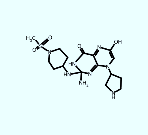 CS(=O)(=O)N1CCC(NC2(N)N=C3C(=NC(O)=CN3C3CCNC3)C(=O)N2)CC1